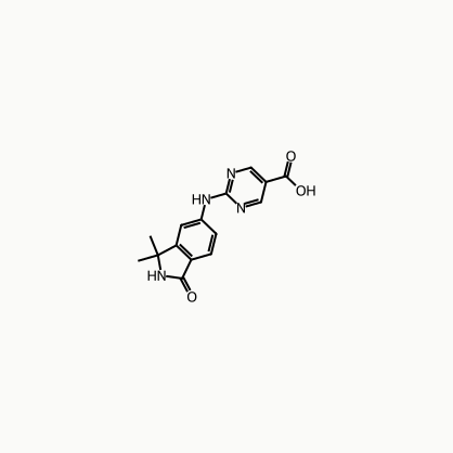 CC1(C)NC(=O)c2ccc(Nc3ncc(C(=O)O)cn3)cc21